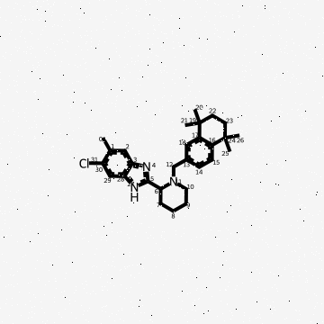 Cc1cc2nc(C3CCCCN3Cc3ccc4c(c3)C(C)(C)CCC4(C)C)[nH]c2cc1Cl